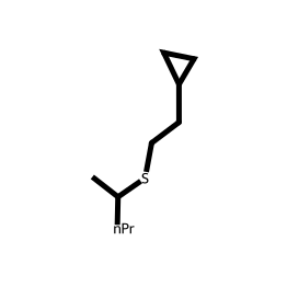 CCCC(C)SCCC1CC1